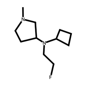 CN1CCC(N(CCF)C2CCC2)C1